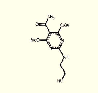 COc1nc(NCCC#N)nc(OC)c1C(N)=O